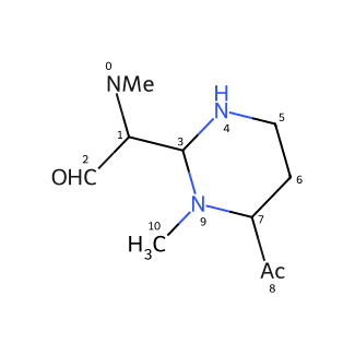 CNC(C=O)C1NCCC(C(C)=O)N1C